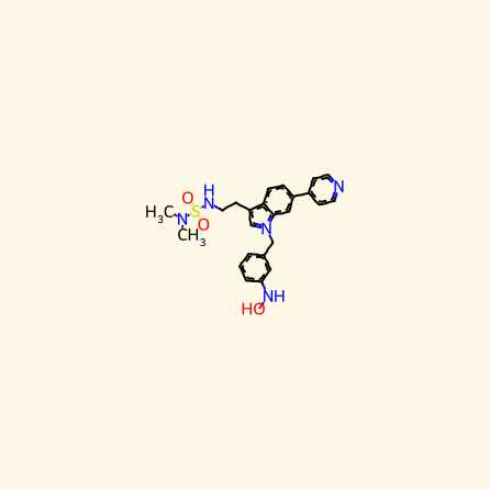 CN(C)S(=O)(=O)NCCc1cn(Cc2cccc(NO)c2)c2cc(-c3ccncc3)ccc12